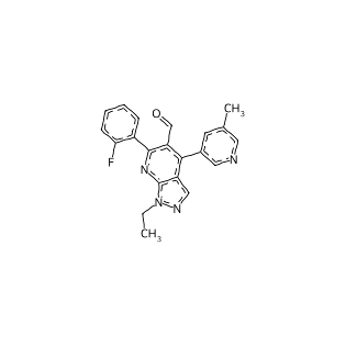 CCn1ncc2c(-c3cncc(C)c3)c(C=O)c(-c3ccccc3F)nc21